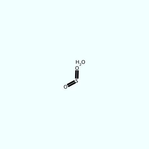 O.O=S=O